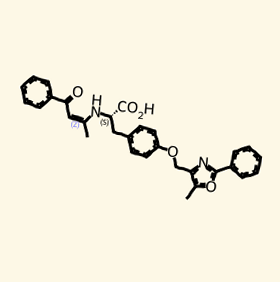 C/C(=C/C(=O)c1ccccc1)N[C@@H](Cc1ccc(OCc2nc(-c3ccccc3)oc2C)cc1)C(=O)O